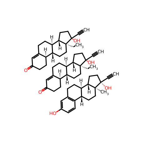 C#C[C@]1(O)CC[C@H]2[C@@H]3CCC4=CC(=O)CC[C@@H]4[C@H]3CC[C@@]21CC.C#C[C@]1(O)CC[C@H]2[C@@H]3CCC4=CC(=O)CC[C@@H]4[C@H]3CC[C@@]21CC.C#C[C@]1(O)CC[C@H]2[C@@H]3CCc4cc(O)ccc4[C@H]3CC[C@@]21C